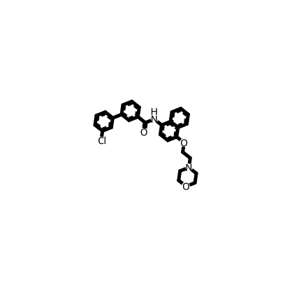 O=C(Nc1ccc(OCCN2CCOCC2)c2ccccc12)c1cccc(-c2cccc(Cl)c2)c1